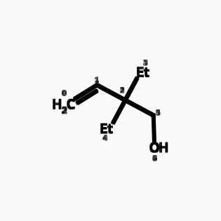 C=CC(CC)(CC)CO